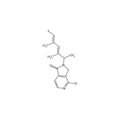 CC(=C\F)/C=C(\C)C(C)N1Cc2c(ccnc2Cl)C1=O